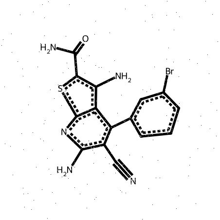 N#Cc1c(N)nc2sc(C(N)=O)c(N)c2c1-c1cccc(Br)c1